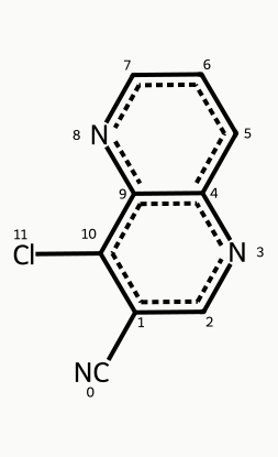 N#Cc1cnc2cccnc2c1Cl